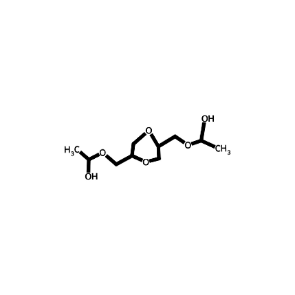 CC(O)OCC1COC(COC(C)O)CO1